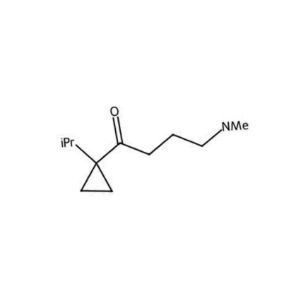 CNCCCC(=O)C1(C(C)C)CC1